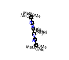 COc1cc(-c2ccc(N3CCC(C4CCN(c5ccc(-c6cc(OC)c(OC)c(OC)c6)nc5)CC4)CC3)cn2)cc(OC)c1OC.CS(=O)(=O)O.CS(=O)(=O)O